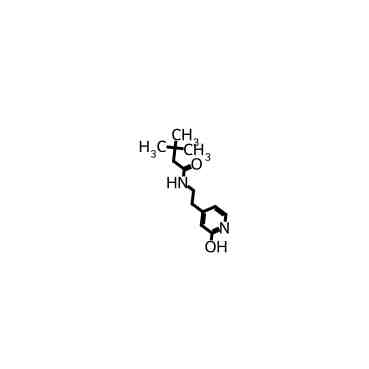 CC(C)(C)CC(=O)NCCc1ccnc(O)c1